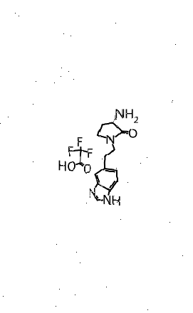 N[C@H]1CCN(CCc2ccc3[nH]cnc3c2)C1=O.O=C(O)C(F)(F)F